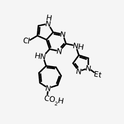 CCn1cc(Nc2nc(NC3=CC=CN(C(=O)O)C=C3)c3c(Cl)c[nH]c3n2)cn1